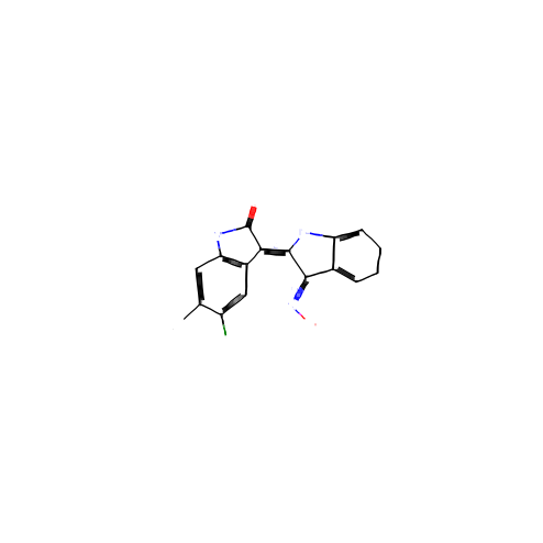 Cc1cc2c(cc1Cl)/C(=C1/NC3=CCCC=C3/C1=N\O)C(=O)N2